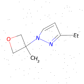 CCc1ccn(C2(C)COC2)n1